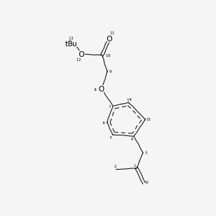 C=C(C)Cc1ccc(OCC(=O)OC(C)(C)C)cc1